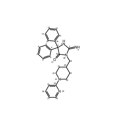 N=C1NC(c2ccccc2)(c2ccccc2)C(=O)N1CC1CCN(c2ccccn2)CC1